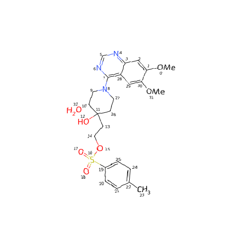 COc1cc2ncnc(N3CCC(O)(CCOS(=O)(=O)c4ccc(C)cc4)CC3)c2cc1OC.O